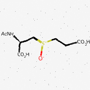 CC(=O)N[C@@H](C[S+]([O-])CCC(=O)O)C(=O)O